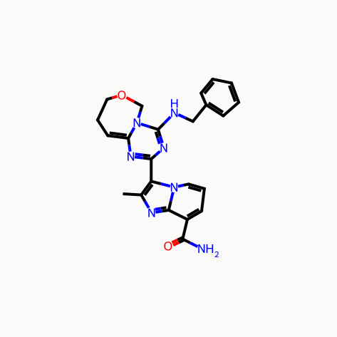 Cc1nc2c(C(N)=O)cccn2c1C1=NC2=CCCOCN2C(NCc2ccccc2)=N1